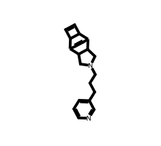 C1=CC2C1C1C=CC2C2CN(CCCc3cccnc3)CC12